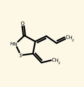 C=C/C=c1/c(=O)[nH]s/c1=C/C